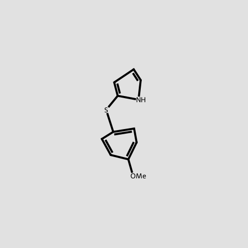 COc1ccc(Sc2ccc[nH]2)cc1